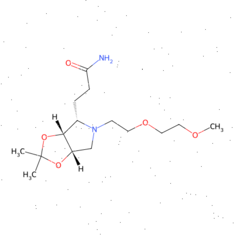 COCCOCCN1C[C@@H]2OC(C)(C)O[C@@H]2[C@@H]1CCC(N)=O